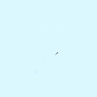 NC1=N[C@@](c2cc([N+](=O)[O-])ccc2F)(C(F)F)COC1